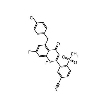 CS(=O)(=O)c1ccc(C#N)cc1-c1cc(=O)c2c(Cc3ccc(Cl)cc3)cc(F)cc2[nH]1